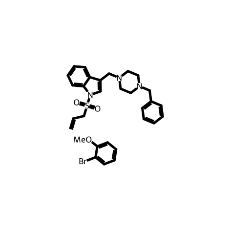 C=CCS(=O)(=O)n1cc(CN2CCN(Cc3ccccc3)CC2)c2ccccc21.COc1ccccc1Br